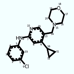 Clc1cccc(Nc2cc(C3CC3)c(CN3CCOCC3)cn2)c1